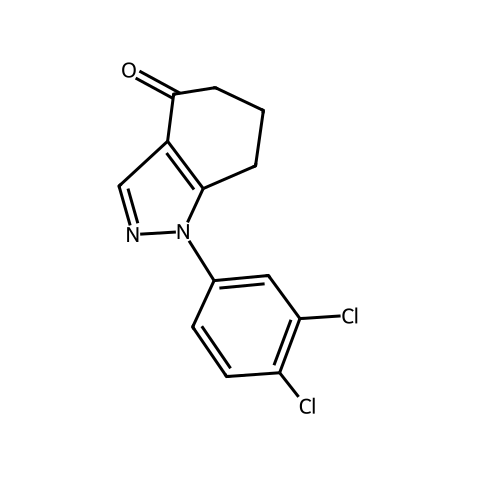 O=C1CCCc2c1cnn2-c1ccc(Cl)c(Cl)c1